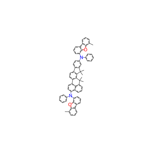 Cc1cccc2c1oc1c(N(c3ccccc3)c3ccc4c(c3)C(C)(C)c3c-4ccc4c3C(C)(C)c3cccc5c(N(c6ccccc6)c6cccc7c6oc6c(C)cccc67)ccc-4c35)cccc12